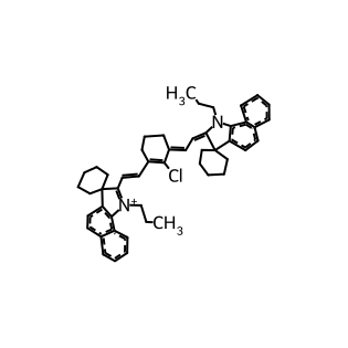 CCCN1/C(=C/C=C2\CCCC(/C=C/C3=[N+](CCC)c4c(ccc5ccccc45)C34CCCCC4)=C2Cl)C2(CCCCC2)c2ccc3ccccc3c21